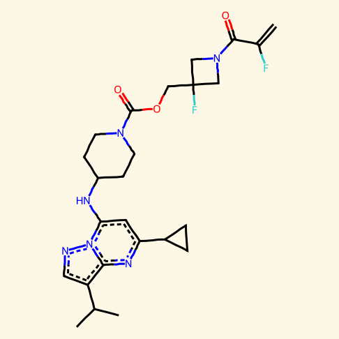 C=C(F)C(=O)N1CC(F)(COC(=O)N2CCC(Nc3cc(C4CC4)nc4c(C(C)C)cnn34)CC2)C1